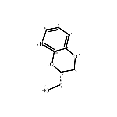 OC[C@H]1COc2cccnc2O1